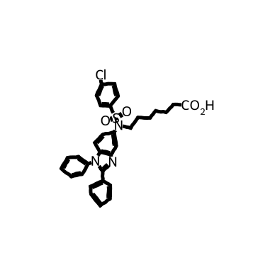 O=C(O)CCCCCCN(c1ccc2c(c1)nc(-c1ccccc1)n2-c1ccccc1)S(=O)(=O)c1ccc(Cl)cc1